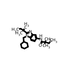 CCC(C)(C)C(=O)Nc1ccc2c(c1)nc(C(C)(C)CC)n2CC1CCCCC1